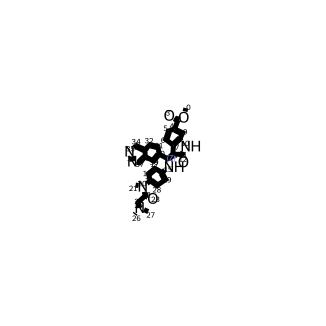 COC(=O)c1ccc2c(c1)NC(=O)/C2=C(\Nc1ccc(N(C)C(=O)CN(C)C)cc1)c1ccc2cnncc2c1